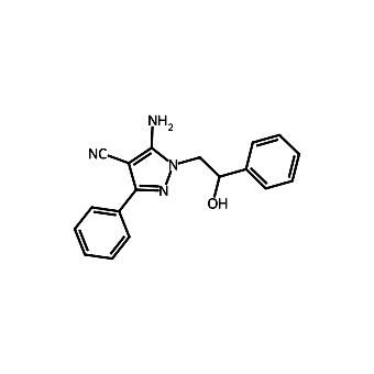 N#Cc1c(-c2ccccc2)nn(CC(O)c2ccccc2)c1N